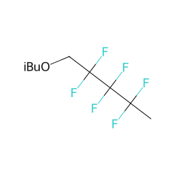 CC(C)COCC(F)(F)C(F)(F)C(C)(F)F